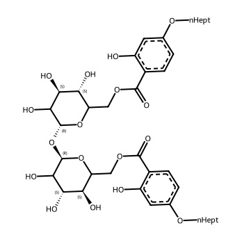 CCCCCCCOc1ccc(C(=O)OCC2O[C@H](O[C@H]3OC(COC(=O)c4ccc(OCCCCCCC)cc4O)[C@@H](O)[C@H](O)C3O)C(O)[C@@H](O)[C@@H]2O)c(O)c1